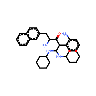 Nc1ccccc1[C]([C](NC1CCCCC1)NC1CCCCC1)C(=O)C(N)Cc1ccc2ccccc2c1